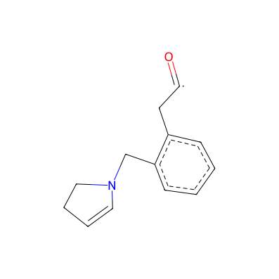 O=[C]Cc1ccccc1CN1C=CCC1